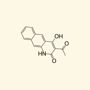 CC(=O)c1c(O)c2cc3ccccc3cc2[nH]c1=O